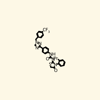 CC(C)c1ccccc1N1C(=O)CSC1=NC(=O)Nc1ccc(-c2ncn(Cc3ccc(C(F)(F)F)cc3)n2)cc1